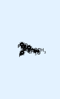 COc1c(OCc2ccc(C(C)=O)o2)cccc1C1CC(c2ccc(F)cc2)=NN1C(=O)c1cccc(F)c1F